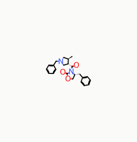 C[C@@H]1CN(Cc2ccccc2)C[C@H]1C(=O)N1C(=O)OC[C@H]1Cc1ccccc1